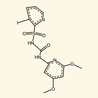 COc1cc(NC(=O)NS(=O)(=O)c2ncccc2I)nc(OC)c1